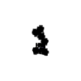 C/C(=C\C(=N/C(=N)c1cccc(-c2ccc(-n3c4ccccc4c4ccccc43)cc2)c1)c1ccccc1)c1ccccc1